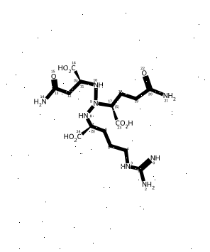 N=C(N)NCCC[C@H](NN(N[C@@H](CC(N)=O)C(=O)O)[C@@H](CCC(N)=O)C(=O)O)C(=O)O